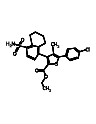 CCOC(=O)c1sc(-c2ccc(Cl)cc2)c(C)c1-c1ccc(S(N)(=O)=O)c2c1CCCC2